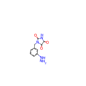 NNc1cccc(CN2C(=O)NC(=O)C2=O)c1